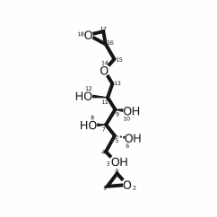 C1CO1.OC[C@@H](O)[C@@H](O)[C@H](O)[C@@H](O)COCC1CO1